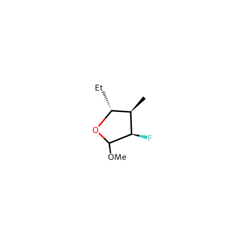 CC[C@H]1OC(OC)[C@H](F)[C@@H]1C